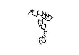 C=C(/C=C\C=C/C)c1nn2c(c1-c1ccnc3cc(OCCN4CCOCC4)ccc13)CCC2